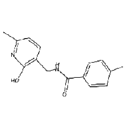 Cc1ccc(C(=O)NCc2ccc(C)nc2O)cc1